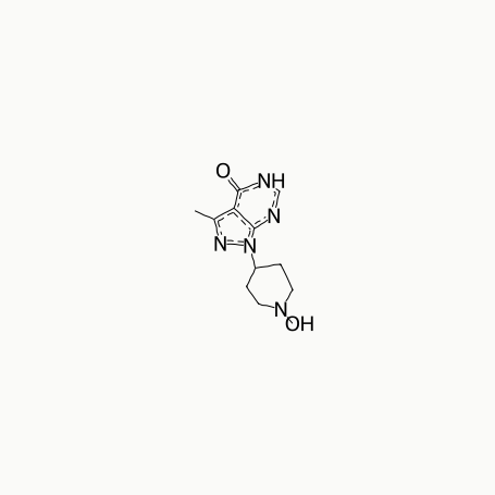 Cc1nn(C2CCN(O)CC2)c2nc[nH]c(=O)c12